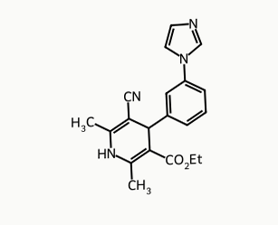 CCOC(=O)C1=C(C)NC(C)=C(C#N)C1c1cccc(-n2ccnc2)c1